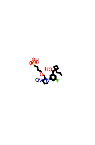 [C-]#[N+]C1CCN(c2cc(F)cc(C(O)C3(CCC)CCC3)c2)C1COCCCCS(=O)(=O)O